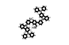 N#Cc1cc(-c2cccc(-n3c4ccccc4c4cc(N(c5ccccc5)c5ccccc5)ccc43)c2)c(C=N)cc1-c1cccc(-n2c3ccccc3c3cc(N(c4ccccc4)c4ccccc4)ccc32)c1